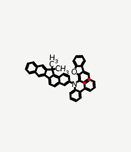 CC1(C)c2cc3ccccc3cc2-c2ccc3cc(N(c4ccccc4-c4ccccc4)c4cccc5c4oc4ccccc45)ccc3c21